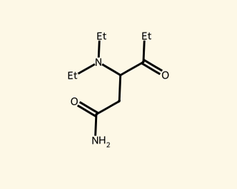 CCC(=O)C(CC(N)=O)N(CC)CC